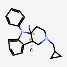 c1ccc(N2c3ccccc3[C@@H]3CN(CC4CC4)CC[C@H]32)cc1